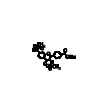 COC(=O)c1ccc(-c2oc3cc(NS(C)(=O)=O)ccc3c(=O)c2OS(C)(=O)=O)cc1